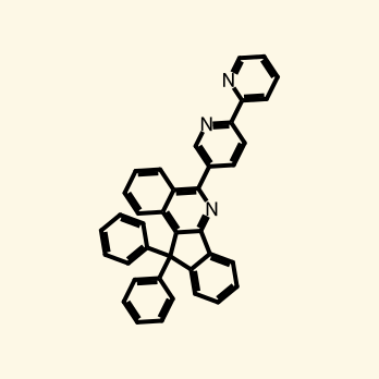 c1ccc(C2(c3ccccc3)c3ccccc3-c3nc(-c4ccc(-c5ccccn5)nc4)c4ccccc4c32)cc1